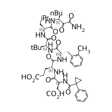 CCCC[C@H](NC(=O)[C@H](CC(C)C)NC(=O)[C@@H](NC(=O)[C@H](Cc1ccccc1C)NC(=O)[C@H](CCC(=O)O)NC(=O)[C@H](CC(=O)O)NC(=O)C1(c2ccccc2)CC1)C(C)(C)C)C(=O)C(N)=O